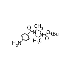 C[C@@H]1CN(C(=O)OC(C)(C)C)[C@@H](C)CN1C(=O)c1ccc(N)cc1